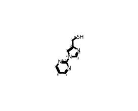 SCc1cn(-c2ncccn2)cn1